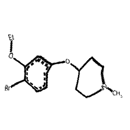 CCOc1cc(OC2CCN(C)CC2)ccc1Br